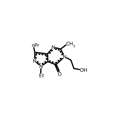 CCCc1nn(CC)c2c(=O)n(CCO)c(C)nc12